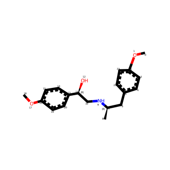 COc1ccc(C[C@@H](C)NC[C@H](O)c2ccc(OC)cc2)cc1